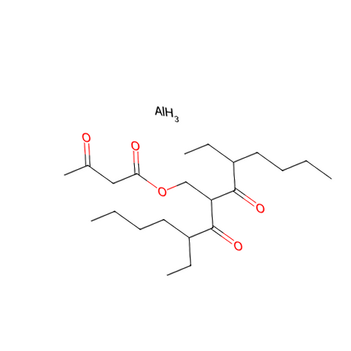 CCCCC(CC)C(=O)C(COC(=O)CC(C)=O)C(=O)C(CC)CCCC.[AlH3]